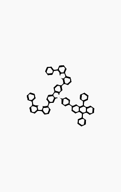 c1ccc(-c2c3ccccc3c(-c3ccccc3)c3cc(-c4ccc(-n5c6cc(-c7cccc8c7oc7c(-c9ccccc9)cccc78)ccc6c6ccc(-c7cccc8c7oc7c(-c9ccccc9)cccc78)cc65)cc4)ccc23)cc1